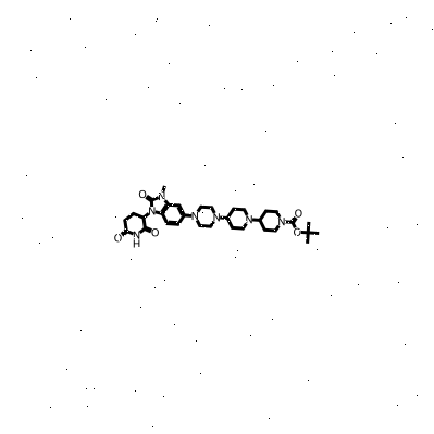 Cn1c(=O)n(C2CCC(=O)NC2=O)c2ccc(N3CCN(C4CCN(C5CCN(C(=O)OC(C)(C)C)CC5)CC4)CC3)cc21